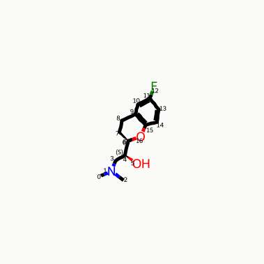 CN(C)C[C@H](O)[C@H]1CCc2cc(F)ccc2O1